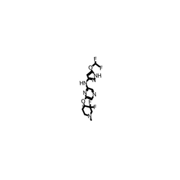 CN1CC[C@@H](Oc2cncc(Nc3cc(OC(F)F)[nH]n3)n2)C(F)(F)C1